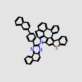 c1ccc2c(c1)-c1cccc3ccc4c(c13)c1c-2c2c(cc1n4-c1nc3ccc4ccccc4c3nc1-c1ccc(-c3ccc4ccccc4c3)cc1)sc1ccccc12